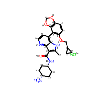 Cc1[nH]c2c(-c3c(OCC4CC4)ccc4c3OCO4)ccnc2c1C(=O)N[C@H]1CC[C@@H](N)CC1.Cl